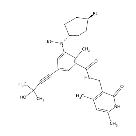 CCN(c1cc(C#CC(C)(C)O)cc(C(=O)NCc2c(C)cc(C)[nH]c2=O)c1C)[C@H]1CC[C@H](CC)CC1